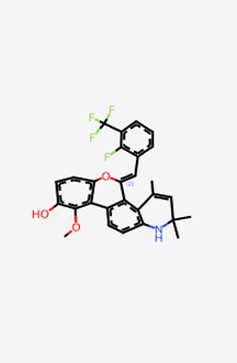 COc1c(O)ccc2c1-c1ccc3c(c1/C(=C/c1cccc(C(F)(F)F)c1F)O2)C(C)=CC(C)(C)N3